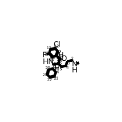 CNCC1CC[C@@H]2[C@H](O1)c1cc(Cl)cc(F)c1N[C@H]2C1C=CC=CC1